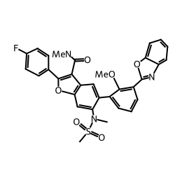 CNC(=O)c1c(-c2ccc(F)cc2)oc2cc(N(C)S(C)(=O)=O)c(-c3cccc(-c4nc5ccccc5o4)c3OC)cc12